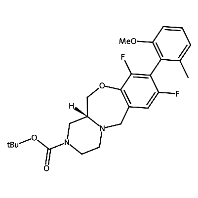 COc1cccc(C)c1-c1c(F)cc2c(c1F)OC[C@H]1CN(C(=O)OC(C)(C)C)CCN1C2